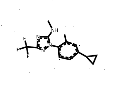 CNc1nc(C(F)(F)F)nn1-c1ccc(C2CC2)cc1C